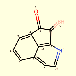 B=c1c(=O)c2cccc3ccnc1c32